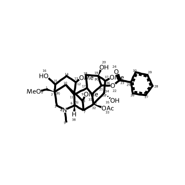 COC[C@]12CN(C)[C@H]3C4C(OC)C1C3(C(OC)CC2O)C1C[C@@]2(O)C(OC(=O)c3ccccc3)C1[C@]4(OC(C)=O)[C@@H](O)C2OC